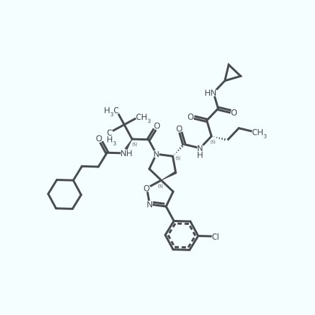 CCC[C@H](NC(=O)[C@@H]1C[C@]2(CC(c3cccc(Cl)c3)=NO2)CN1C(=O)[C@@H](NC(=O)CCC1CCCCC1)C(C)(C)C)C(=O)C(=O)NC1CC1